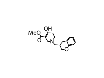 COC(=O)C1=C(O)CCN(CC2COc3ccccc3C2)C1